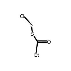 CCC(=O)SSCl